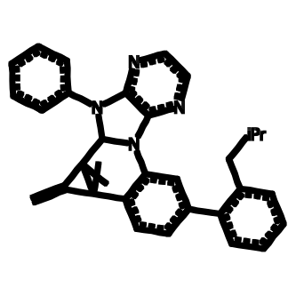 C=C1C2(C)c3ccc(-c4ccccc4CC(C)C)cc3N3c4nccnc4N(c4ccccc4)C3C12C